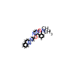 CN(C)C(=O)c1ccccc1-c1nccnc1OC1CN(c2ccc3ccccc3n2)C1